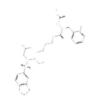 COC(=O)N[C@@H](Cc1ccccc1F)C(=O)NCCCC[C@H](CO)N(CC(C)C)S(=O)(=O)c1ccc2c(c1)CCO2